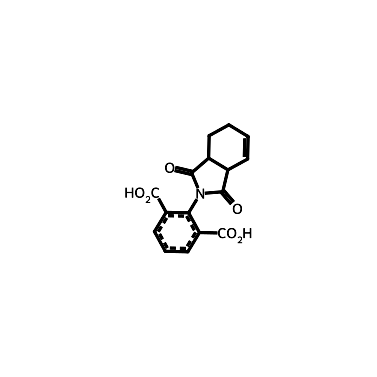 O=C(O)c1cccc(C(=O)O)c1N1C(=O)C2C=CCCC2C1=O